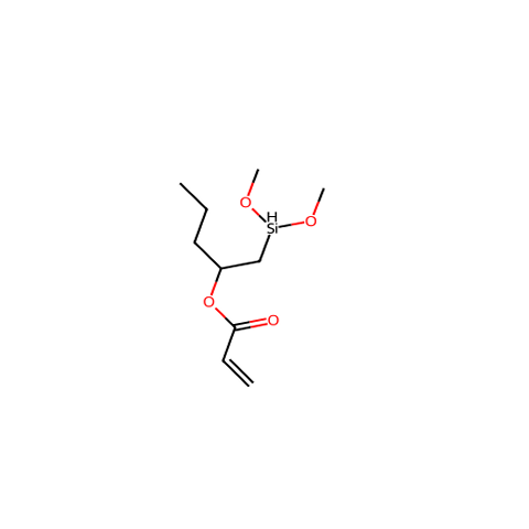 C=CC(=O)OC(CCC)C[SiH](OC)OC